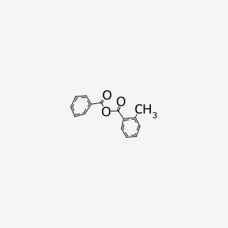 Cc1ccccc1C(=O)OC(=O)c1ccccc1